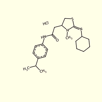 CC(C)c1ccc(NC(=O)CC2CSC(=NC3CCCCC3)N2C)cc1.Cl